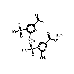 Cc1oc(C(=O)[O-])cc1S(=O)(=O)O.Cc1oc(C(=O)[O-])cc1S(=O)(=O)O.[Ba+2]